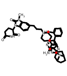 Cn1c(=O)n(C2CCC(=O)NC2=O)c2ccc(CCCN3CCC(c4cnc(N5C6CCC5CN(c5cc(-c7ccccc7O)nnc5N)C6)nc4)CC3)cc21